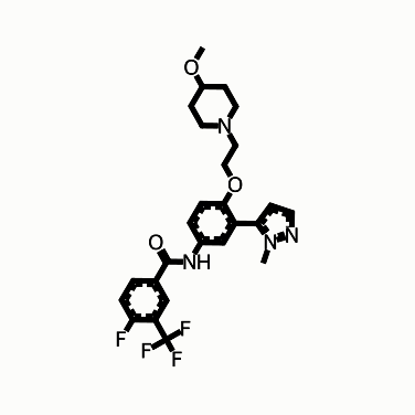 COC1CCN(CCOc2ccc(NC(=O)c3ccc(F)c(C(F)(F)F)c3)cc2-c2ccnn2C)CC1